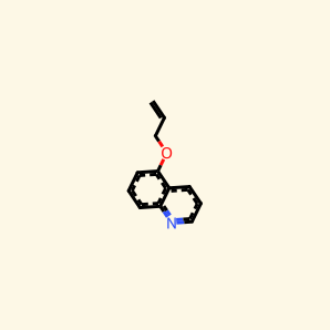 C=CCOc1cccc2ncccc12